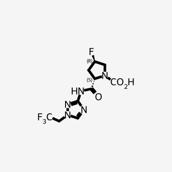 O=C(Nc1ncn(CC(F)(F)F)n1)[C@@H]1C[C@@H](F)CN1C(=O)O